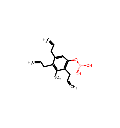 C=CCc1cc(OB(O)O)c(CC=C)c([N+](=O)[O-])c1CC=C